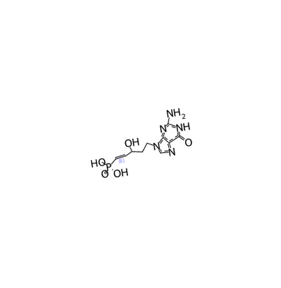 Nc1nc2c(ncn2CCC(O)/C=C/P(=O)(O)O)c(=O)[nH]1